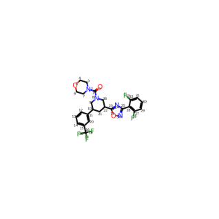 O=C(N1CCOCC1)N1CC(c2cccc(C(F)(F)F)c2)CC(c2nc(-c3c(F)cccc3F)no2)C1